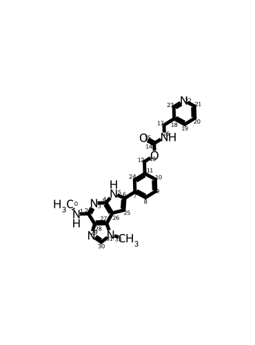 CNc1nc2[nH]c(-c3cccc(COC(=O)NCc4cccnc4)c3)cc2c2c1ncn2C